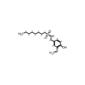 CCCCCCCCS(=O)(=O)NCc1ccc(O)c(OC)c1